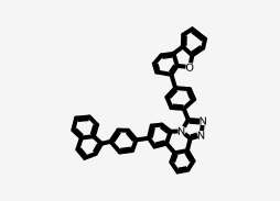 c1ccc2c(-c3ccc(-c4ccc5c(c4)c4ccccc4c4nnc(-c6ccc(-c7cccc8c7oc7ccccc78)cc6)n54)cc3)cccc2c1